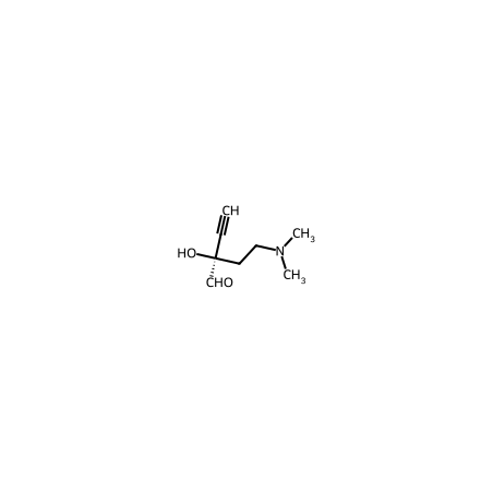 C#C[C@@](O)(C=O)CCN(C)C